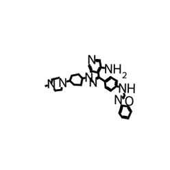 CN1CCN(C2CCC(n3nc(-c4ccc(Nc5nc6ccccc6o5)cc4)c4c(N)cncc43)CC2)CC1